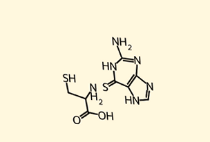 NC(CS)C(=O)O.Nc1nc2nc[nH]c2c(=S)[nH]1